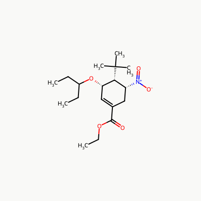 CCOC(=O)C1=C[C@H](OC(CC)CC)[C@H](C(C)(C)C)[C@H]([N+](=O)[O-])C1